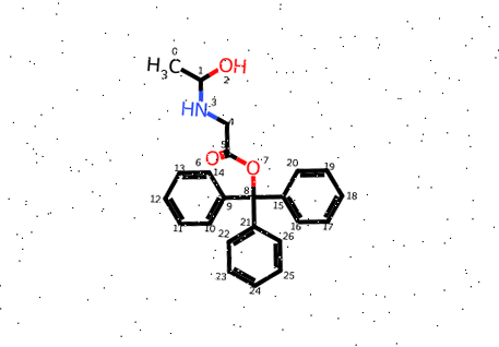 CC(O)NCC(=O)OC(c1ccccc1)(c1ccccc1)c1ccccc1